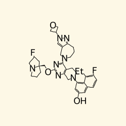 CCc1c(F)ccc2cc(O)cc(N3CCc4c(nc(OC[C@@]56CCCN5C[C@H](F)C6)nc4N4CCCc5nn(C6COC6)cc5C4)C3)c12